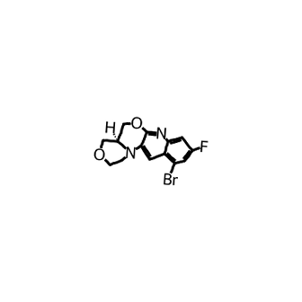 Fc1cc(Br)c2cc3c(nc2c1)OC[C@@H]1COCCN31